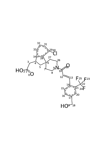 O=C(O)CC1CC2(CCN(C(=O)/C=C/c3ccc(CO)cc3C(F)(F)F)CC2)c2c(Cl)cccc21